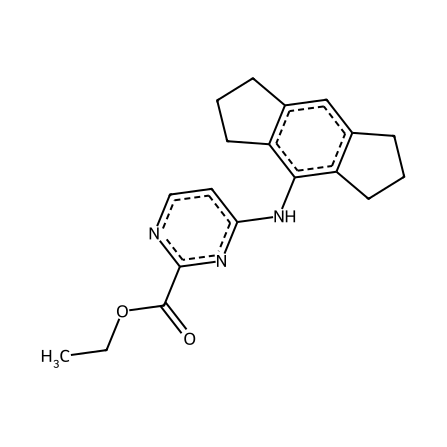 CCOC(=O)c1nccc(Nc2c3c(cc4c2CCC4)CCC3)n1